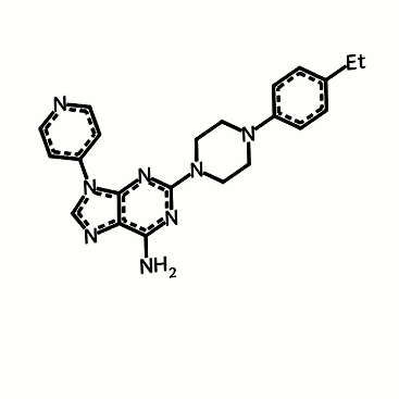 CCc1ccc(N2CCN(c3nc(N)c4ncn(-c5ccncc5)c4n3)CC2)cc1